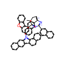 CC1C/C=C(c2ccc3ccccc3c2)/N=C(c2ccc3ccccc3c2)\N=C/1c1cc(-n2c3cc4ccccc4cc3c3ccc4ccccc4c32)cc2oc3ccccc3c12